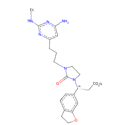 CCNc1nc(N)cc(CCCN2CCN([C@H](CC(=O)O)c3ccc4c(c3)OCC4)C2=O)n1